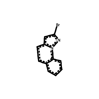 Brc1cc2ccc3ccccc3n2n1